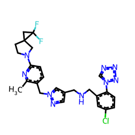 Cc1nc(N2CCC3(C2)CC3(F)F)ccc1Cn1cc(CNCc2cc(Cl)ccc2-n2cnnn2)cn1